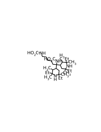 CCC1(C)CC(C(CCCCCNC(=O)O)(NC(=O)O)C2CC(C)(CC)NC(C)(CC)C2C)C(C)C(C)(CC)N1